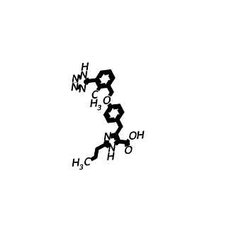 CCCc1nc(Cc2ccc(OCc3cccc(-c4nnn[nH]4)c3C)cc2)c(C(=O)O)[nH]1